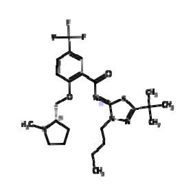 CCCCn1nc(C(C)(C)C)s/c1=N\C(=O)c1cc(C(F)(F)F)ccc1OC[C@@H]1CCCN1C